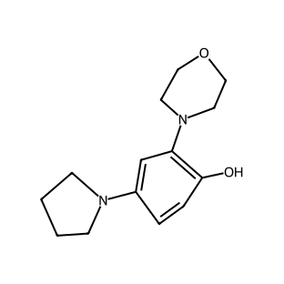 Oc1ccc(N2CCCC2)cc1N1CCOCC1